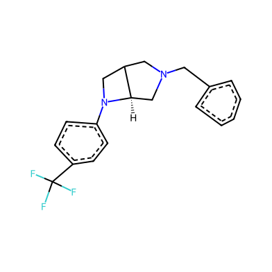 FC(F)(F)c1ccc(N2CC3CN(Cc4ccccc4)C[C@H]32)cc1